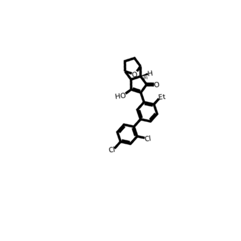 CCc1ccc(-c2ccc(Cl)cc2Cl)cc1C1=C(O)C2C3CCC(O3)[C@@H]2C1=O